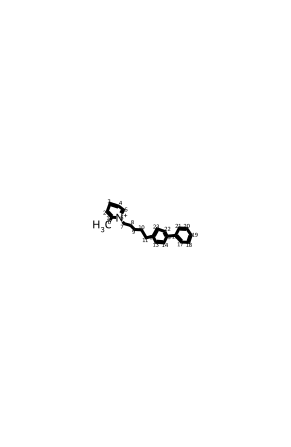 Cc1cccc[n+]1CCCCCc1ccc(-c2ccccc2)cc1